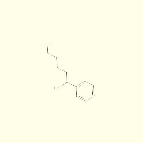 NCCCCC(N)c1ccccc1